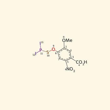 COc1cc(C(=O)O)c([N+](=O)[O-])cc1OSP(I)I